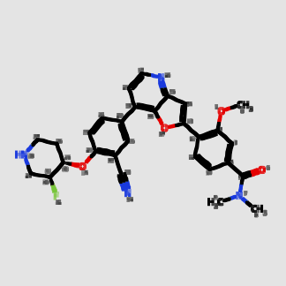 COc1cc(C(=O)N(C)C)ccc1-c1cc2nccc(-c3ccc(O[C@@H]4CCNC[C@@H]4F)c(C#N)c3)c2o1